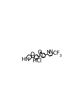 Cl.O=c1cc(-c2ccc(C(F)(F)F)nn2)ccn1-c1ccc2c3c(oc2c1)CCNC3